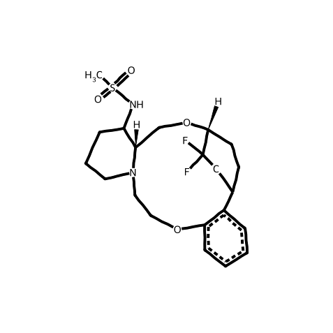 CS(=O)(=O)NC1CCCN2CCOc3ccccc3C3CC[C@@H](OC[C@@H]12)C(F)(F)C3